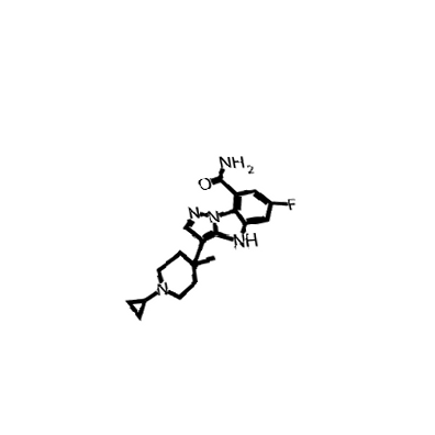 CC1(c2cnn3c2[nH]c2cc(F)cc(C(N)=O)c23)CCN(C2CC2)CC1